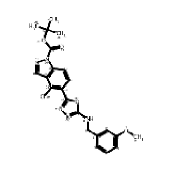 COc1cccc(CNc2nnc(-c3ccc4c(cnn4C(=O)OC(C)(C)C)c3Cl)o2)c1